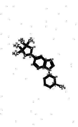 C[C@H]1CCC[C@H](n2cnc3cc(B4OC(C)(C)C(C)(C)O4)ccc32)C1